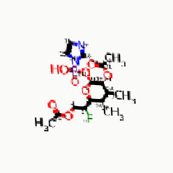 CC(=O)OC[C@H](F)C1O[C@@H](OP(=O)(O)n2ccnc2)[C@H](OC(C)=O)C(C)[C@@H]1C